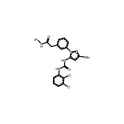 CC(C)NC(=O)Cc1cccc(-n2nc(C(C)(C)C)cc2NC(=O)Nc2cccc(Cl)c2Cl)c1